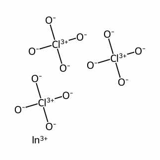 [In+3].[O-][Cl+3]([O-])([O-])[O-].[O-][Cl+3]([O-])([O-])[O-].[O-][Cl+3]([O-])([O-])[O-]